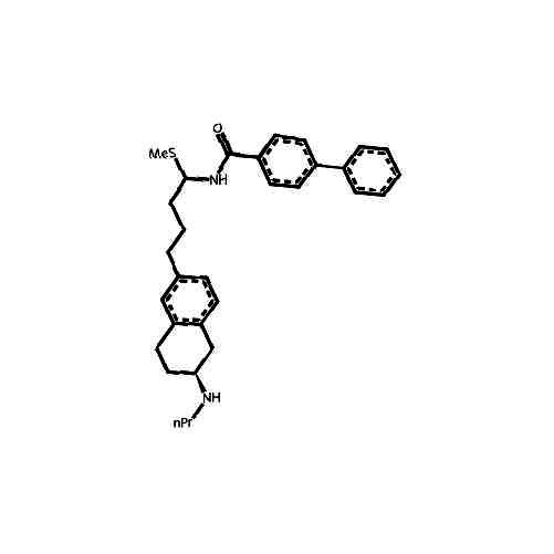 CCCN[C@H]1CCc2cc(CCCC(NC(=O)c3ccc(-c4ccccc4)cc3)SC)ccc2C1